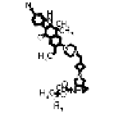 CCc1cc2c(cc1N1CCN(CC3CC(N4C[C@H](NC(=O)OC(C)(C)C)C5(CC5)C4)C3)CC1)C(C)(C)c1[nH]c3cc(C#N)ccc3c1C2=O